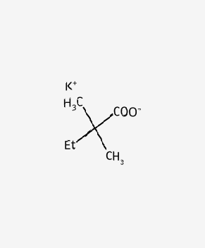 CCC(C)(C)C(=O)[O-].[K+]